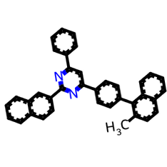 Cc1ccc2ccccc2c1-c1ccc(-c2cc(-c3ccccc3)nc(-c3ccc4ccccc4c3)n2)cc1